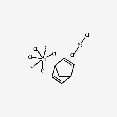 C1=CC2C=CC1C2.[Cl][Pt]([Cl])([Cl])([Cl])([Cl])[Cl].[Cl][Pt][Cl]